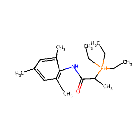 CC[PH](CC)(CC)C(C)C(=O)Nc1c(C)cc(C)cc1C